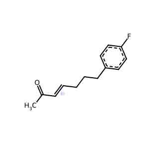 CC(=O)/C=C/CCCc1ccc(F)cc1